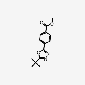 COC(=O)c1ccc(-c2nnc(C(C)(C)C)o2)cc1